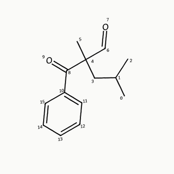 CC(C)CC(C)(C=O)C(=O)c1ccccc1